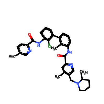 Cc1cc(C(=O)Nc2cccc(-c3cccc(NC(=O)c4ccc(C=O)cn4)c3Cl)c2C)ncc1CN1CCCCC1C(=O)O